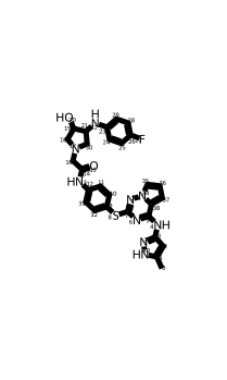 Cc1cc(Nc2nc(Sc3ccc(NC(=O)CN4CC(O)C(Nc5ccc(F)cc5)C4)cc3)nn3cccc23)n[nH]1